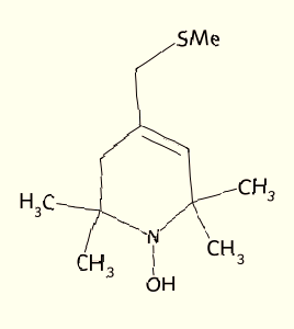 CSCC1=CC(C)(C)N(O)C(C)(C)C1